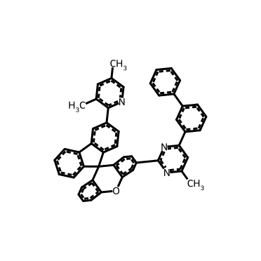 Cc1cnc(-c2ccc3c(c2)-c2ccccc2C32c3ccccc3Oc3cc(-c4nc(C)cc(-c5cccc(-c6ccccc6)c5)n4)ccc32)c(C)c1